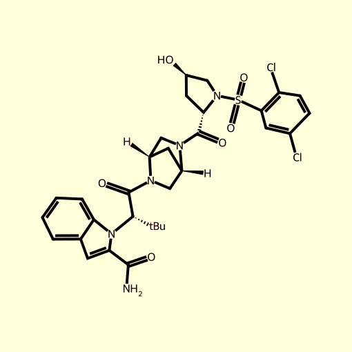 CC(C)(C)[C@@H](C(=O)N1C[C@@H]2C[C@H]1CN2C(=O)[C@@H]1C[C@@H](O)CN1S(=O)(=O)c1cc(Cl)ccc1Cl)n1c(C(N)=O)cc2ccccc21